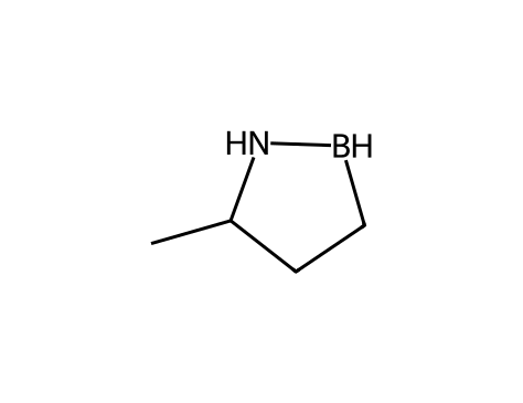 CC1CCBN1